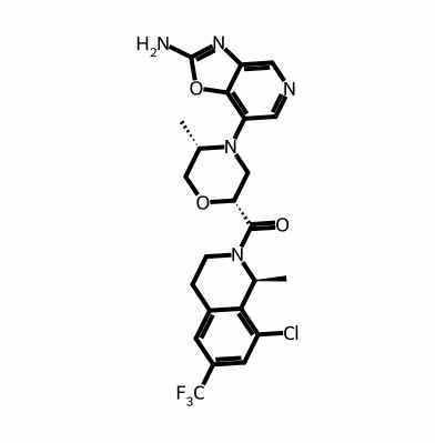 C[C@H]1c2c(Cl)cc(C(F)(F)F)cc2CCN1C(=O)[C@H]1CN(c2cncc3nc(N)oc23)[C@@H](C)CO1